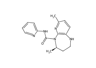 Cc1ccc2c(n1)N(C(=O)Nc1ccccn1)[C@H](C)CCN2